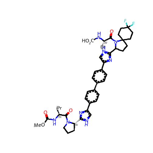 CC[C@H](NC(=O)O)C(=O)N1C(c2nc(-c3ccc(-c4ccc(-c5c[nH]c([C@@H]6CCCN6C(=O)[C@@H](NC(=O)OC)C(C)C)n5)cc4)cc3)c[nH]2)CCC12CCC(F)(F)CC2